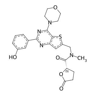 CN(Cc1cc2nc(-c3cccc(O)c3)nc(N3CCOCC3)c2s1)C(=O)[C@@H]1CCC(=O)O1